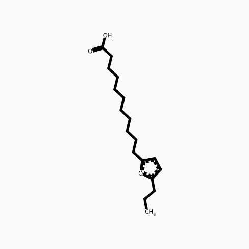 CCCc1ccc(CCCCCCCCCCC(=O)O)o1